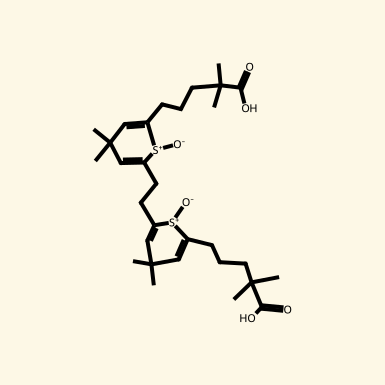 CC1(C)C=C(CCCC(C)(C)C(=O)O)[S+]([O-])C(CCC2=CC(C)(C)C=C(CCCC(C)(C)C(=O)O)[S+]2[O-])=C1